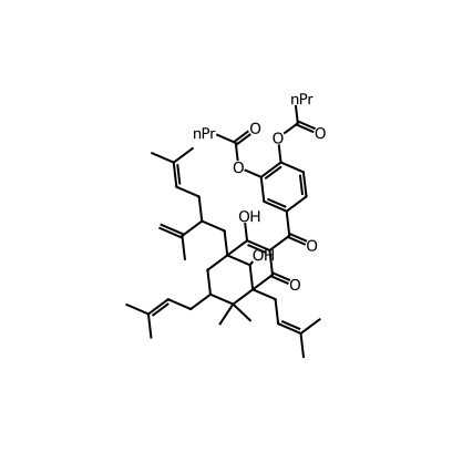 C=C(C)C(CC=C(C)C)CC12CC(CC=C(C)C)C(C)(C)C(CC=C(C)C)(C(=O)C(C(=O)c3ccc(OC(=O)CCC)c(OC(=O)CCC)c3)=C1O)C2O